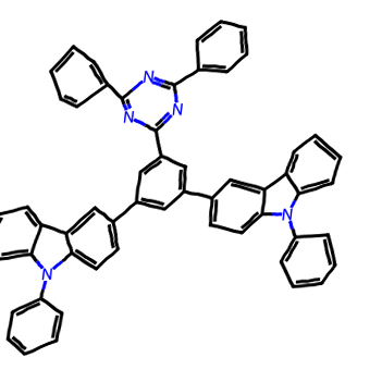 c1ccc(-c2nc(-c3ccccc3)nc(-c3cc(-c4ccc5c(c4)c4ccccc4n5-c4ccccc4)cc(-c4ccc5c(c4)c4ccccc4n5-c4ccccc4)c3)n2)cc1